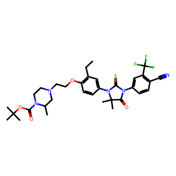 CCc1cc(N2C(=S)N(c3ccc(C#N)c(C(F)(F)F)c3)C(=O)C2(C)C)ccc1OCCN1CCN(C(=O)OC(C)(C)C)C(C)C1